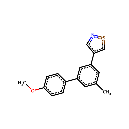 COc1ccc(-c2cc(C)cc(-c3cnsc3)c2)cc1